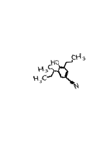 CCCc1cc(C#N)cc(C(C)CC)c1O